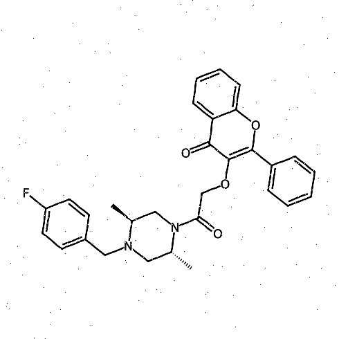 C[C@@H]1CN(Cc2ccc(F)cc2)[C@@H](C)CN1C(=O)COc1c(-c2ccccc2)oc2ccccc2c1=O